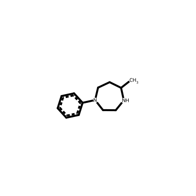 CC1CCN(c2ccccc2)CCN1